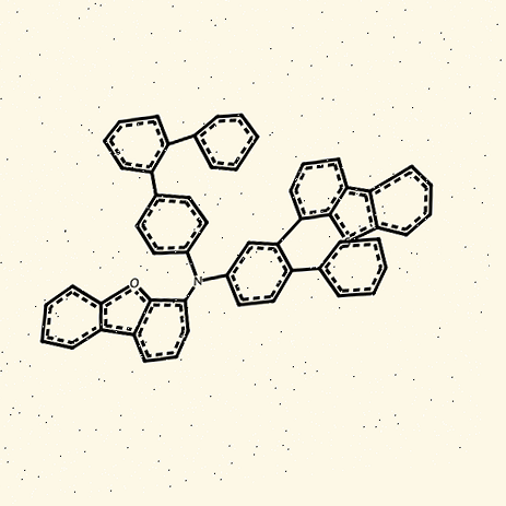 c1ccc(-c2ccccc2-c2ccc(N(c3ccc(-c4ccccc4)c(-c4cccc5c4sc4ccccc45)c3)c3cccc4c3oc3ccccc34)cc2)cc1